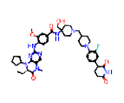 CC[C@@H]1C(=O)N(C)c2cnc(Nc3ccc(C(=O)NC4(CO)CCN(CC5CCN(c6ccc(C7CCC(=O)NC7=O)cc6F)CC5)CC4)cc3OC)nc2N1C1CCCC1